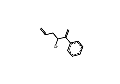 C=CC[C](O)C(=C)c1ccccc1